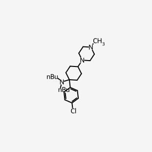 CCCCN(CCCC)C1(c2ccc(Cl)cc2)CCC(N2CCN(C)CC2)CC1